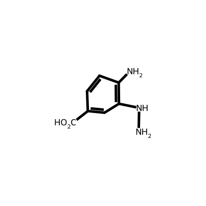 NNc1cc(C(=O)O)ccc1N